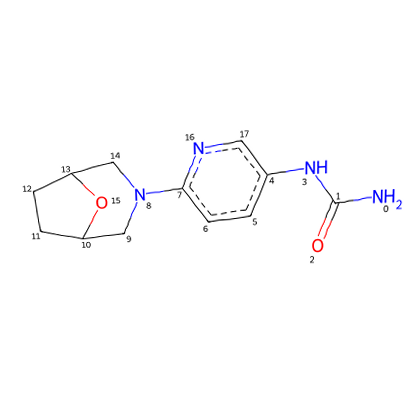 NC(=O)Nc1ccc(N2CC3CCC(C2)O3)nc1